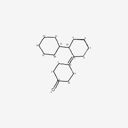 O=C1CCC(=C2CCCCC2C2CCCCC2)CC1